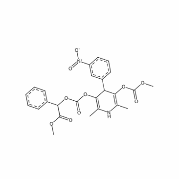 COC(=O)OC1=C(C)NC(C)=C(OC(=O)OC(C(=O)OC)c2ccccc2)C1c1cccc([N+](=O)[O-])c1